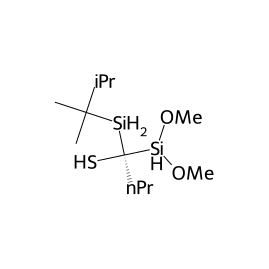 CCC[C@](S)([SiH2]C(C)(C)C(C)C)[SiH](OC)OC